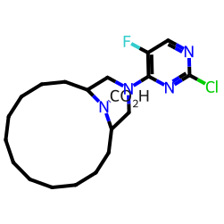 O=C(O)N1C2CCCCCCCCCCCC1CN(c1nc(Cl)ncc1F)C2